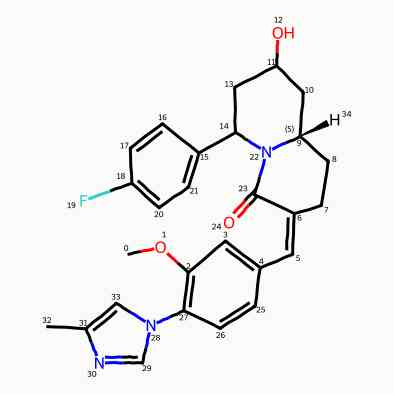 COc1cc(C=C2CC[C@H]3CC(O)CC(c4ccc(F)cc4)N3C2=O)ccc1-n1cnc(C)c1